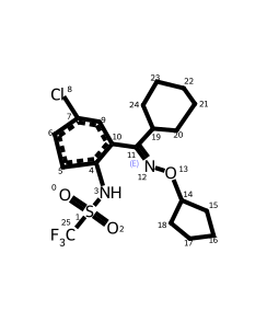 O=S(=O)(Nc1ccc(Cl)cc1/C(=N/OC1CCCC1)C1CCCCC1)C(F)(F)F